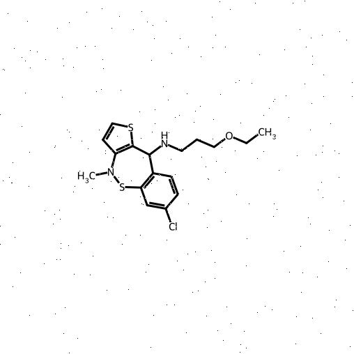 CCOCCCNC1c2ccc(Cl)cc2SN(C)c2ccsc21